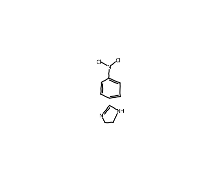 C1=NCCN1.ClN(Cl)c1ccccc1